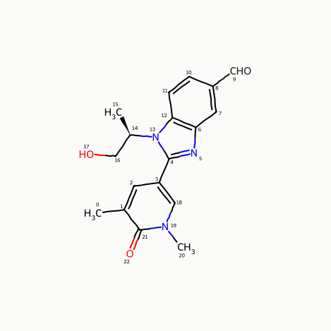 Cc1cc(-c2nc3cc(C=O)ccc3n2[C@H](C)CO)cn(C)c1=O